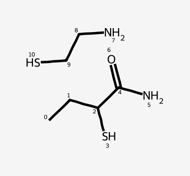 CCC(S)C(N)=O.NCCS